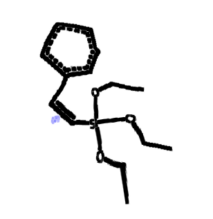 CCO[Si](/C=C\c1ccccc1)(OCC)OCC